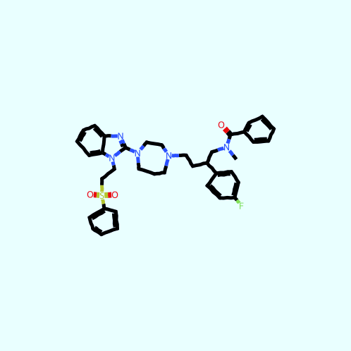 CN(CC(CCN1CCCN(c2nc3ccccc3n2CCS(=O)(=O)c2ccccc2)CC1)c1ccc(F)cc1)C(=O)c1ccccc1